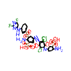 Nc1ccc2c(c1S(=O)(=O)O)Oc1c(Cl)c3c(c(Cl)c1=N2)Oc1c(cc(S(=O)(=O)c2cccc(Nc4cc(F)nc(F)n4)c2)c(N)c1S(=O)(=O)O)N=3